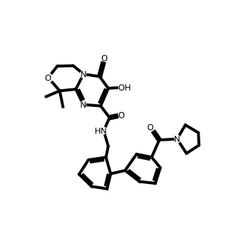 CC1(C)OCCn2c1nc(C(=O)NCc1ccccc1-c1cccc(C(=O)N3CCCC3)c1)c(O)c2=O